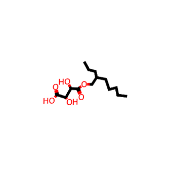 CCCCCC(CCC)COC(=O)C(O)C(O)C(=O)O